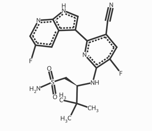 CC(C)(C)[C@@H](CS(N)(=O)=O)Nc1nc(-c2c[nH]c3ncc(F)cc23)c(C#N)cc1F